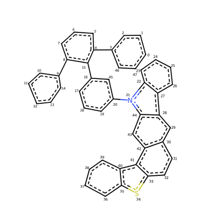 c1ccc(-c2cccc(-c3ccccc3)c2-c2cccc(-n3c4ccccc4c4cc5ccc6sc7ccccc7c6c5cc43)c2)cc1